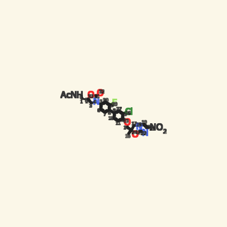 CC(=O)NC[C@H]1CN(c2ccc(-c3ccc(OCC4(C)Cn5cc([N+](=O)[O-])nc5O4)c(Cl)c3)c(F)c2)C(=O)O1